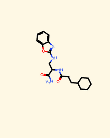 NC(=O)C(CNc1nc2ccccc2o1)NC(=O)[CH]CC1CCCCC1